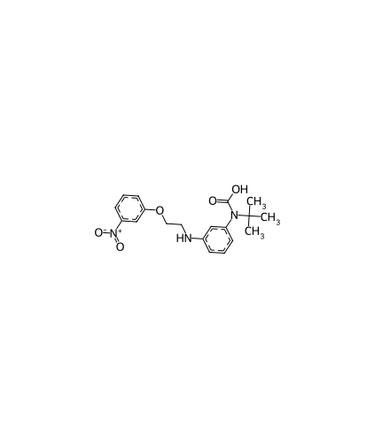 CC(C)(C)N(C(=O)O)c1cccc(NCCOc2cccc([N+](=O)[O-])c2)c1